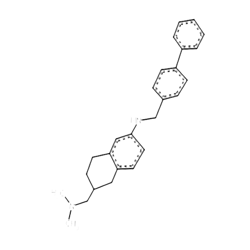 CN(C)CC1CCc2cc(NCc3ccc(-c4ccccc4)cc3)ccc2C1